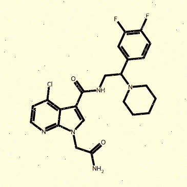 NC(=O)Cn1cc(C(=O)NCC(c2ccc(F)c(F)c2)N2CCCCC2)c2c(Cl)ccnc21